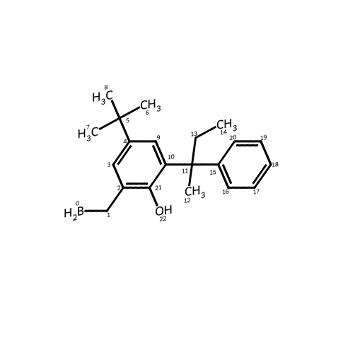 BCc1cc(C(C)(C)C)cc(C(C)(CC)c2ccccc2)c1O